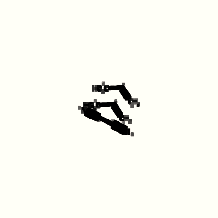 C=CC(=O)O.C=CC(=O)O.N#CC#N